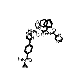 O=C(NC1CC1)c1ccc(-c2csc(NC(=O)[C@@H]3COC4(CCCCC4)N3C(=O)[C@H](NC(=O)c3cnccn3)C3=CC=CCC3)n2)cc1